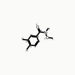 CON(C)C(=O)c1ccc(C)c(C)c1